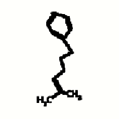 CC(C)=CCCCc1cc[c]cc1